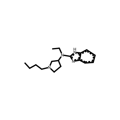 CCCCN1CCC(N(CC)c2nc3ccccc3[nH]2)C1